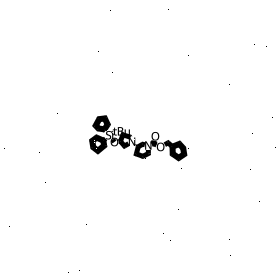 CC(C)(C)[Si](OC1CCN([C@H]2CCCN(C(=O)OCc3ccccc3)C2)C1)(c1ccccc1)c1ccccc1